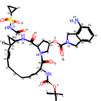 CC(C)(C)OC(=O)N[C@H]1CCCCC/C=C\[C@@H]2C[C@@]2(C(=O)NS(=O)(=O)C2CC2)NC(=O)C2C[C@@H](OC(=O)N3Cc4cccc(N)c4C3)CN2C1=O